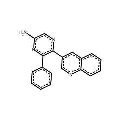 Nc1cnc(-c2cnc3ccccc3c2)c(-c2ccccc2)n1